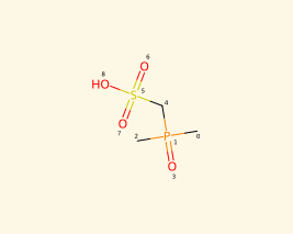 CP(C)(=O)CS(=O)(=O)O